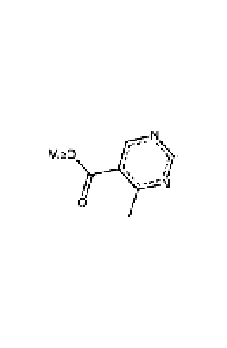 COC(=O)c1cn[c]nc1C